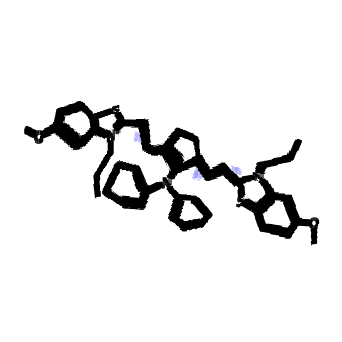 CCCN1/C(=C/C=C2\CCC(/C=C/c3sc4ccc(OC)cc4[n+]3CCC)=C2N(c2ccccc2)c2ccccc2)Sc2ccc(OC)cc21